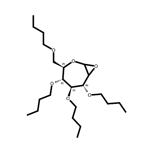 CCCCOC[C@H]1OC2OC2[C@H](OCCCC)[C@@H](OCCCC)[C@@H]1OCCCC